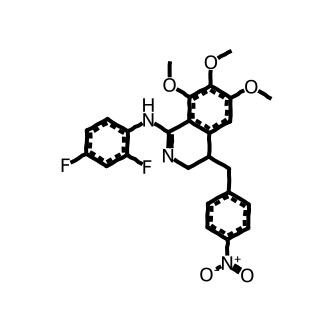 COc1cc2c(c(OC)c1OC)C(Nc1ccc(F)cc1F)=NCC2Cc1ccc([N+](=O)[O-])cc1